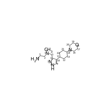 CN(CCN)Cc1n[nH]cc1C1CCC(N2CCOCC2)CC1